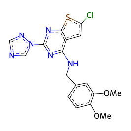 COc1ccc(CNc2nc(-n3cncn3)nc3sc(Cl)cc23)cc1OC